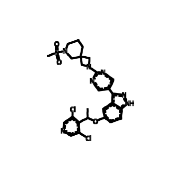 CC(Oc1ccc2[nH]nc(-c3cnc(N4CC5(CCCN(S(C)(=O)=O)C5)C4)nc3)c2c1)c1c(Cl)cncc1Cl